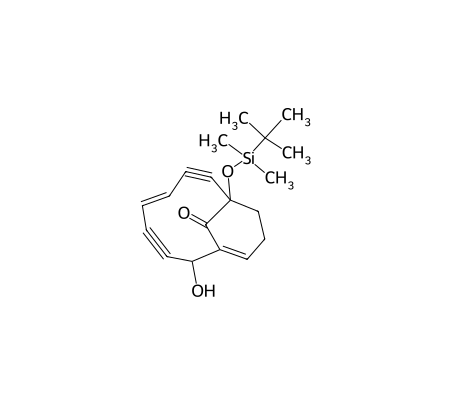 CC(C)(C)[Si](C)(C)OC12C#C/C=C/C#CC(O)C(=CCC1)C2=O